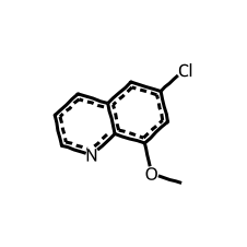 COc1cc(Cl)cc2cccnc12